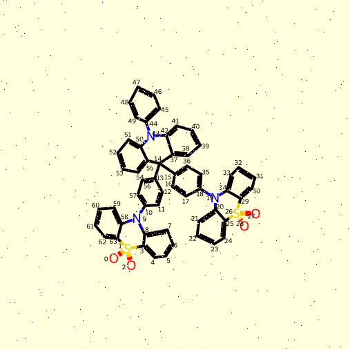 O=S1(=O)c2ccccc2N(c2ccc(C3(c4ccc(N5c6ccccc6S(=O)(=O)c6ccccc65)cc4)c4ccccc4N(c4ccccc4)c4ccccc43)cc2)c2ccccc21